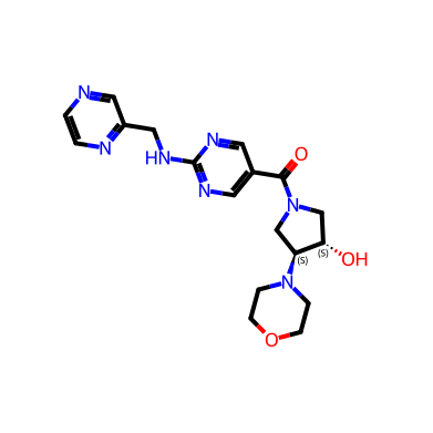 O=C(c1cnc(NCc2cnccn2)nc1)N1C[C@H](O)[C@@H](N2CCOCC2)C1